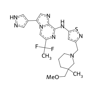 COCC1(C)CCCN(Cc2cc(Nc3nc(C(C)(F)F)cn4c(-c5cn[nH]c5)cnc34)sn2)C1